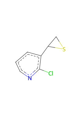 Clc1ncccc1C1CS1